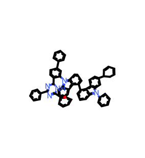 C1=CCC(c2ccc3c4c(-c5cccc6c5c5ccccc5n6-c5cc(-c6ccccc6)ccc5C5N=C(c6ccccc6)N=C(c6ccccc6)N5)cccc4n(-c4ccccc4)c3c2)C=C1